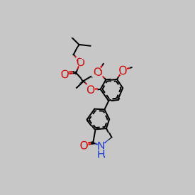 COc1ccc(-c2ccc3c(c2)CNC3=O)c(OC(C)(C)C(=O)OCC(C)C)c1OC